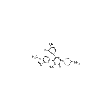 Cn1c(-c2ccc3c(c2)ncn3C)c(-c2ccc(C#N)c(F)c2)nc(N2CCC(N)CC2)c1=O